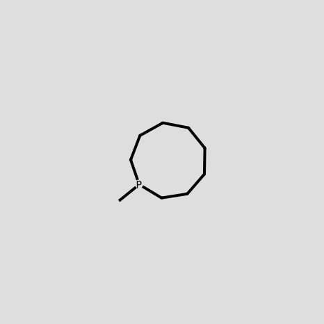 CP1CCCCCCCC1